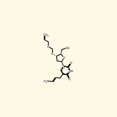 C=CCOCO[C@H]1C[C@H](n2cc(CC=CN)c(=O)[nH]c2=O)O[C@@H]1CO